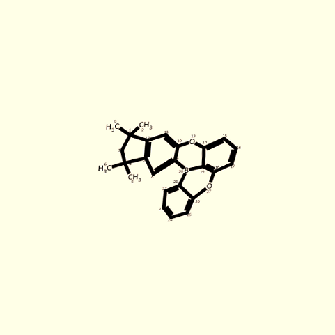 CC1(C)CC(C)(C)c2cc3c(cc21)Oc1cccc2c1B3c1ccccc1O2